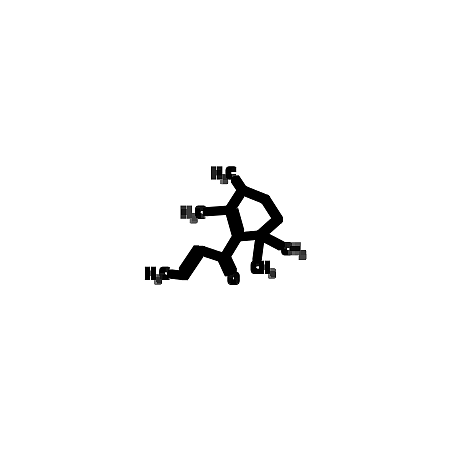 CC=CC(=O)C1=C(C)C(C)CCC1(C)C